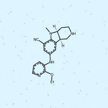 CCOc1ncccc1Nc1cc(C#N)c2c(c1)[C@@H]1CNCC[C@@H]1N2C